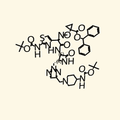 CC(C)(C)OC(=O)Nc1nc(C(=NOC2(C(=O)OC(c3ccccc3)c3ccccc3)CC2)C(=O)N[C@@H]2C(=O)N[C@@H]2Cn2ncc(CN3CCC(NC(=O)OC(C)(C)C)CC3)n2)cs1